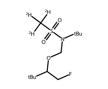 [2H]C([2H])([2H])S(=O)(=O)N(COC(CF)C(C)(C)C)C(C)(C)C